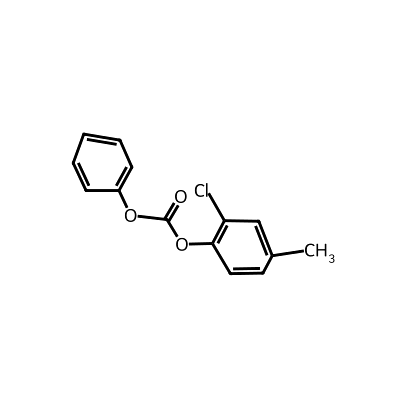 Cc1ccc(OC(=O)Oc2ccccc2)c(Cl)c1